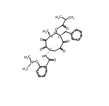 CC(C)C(=O)O[C@@H]1[C@H](C)C(=O)C(=O)[C@@H](NC(=O)c2ccccc2ON(C)C)CC(=O)C(=O)[C@@H]1Cc1ccccc1